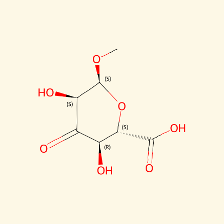 CO[C@H]1O[C@H](C(=O)O)[C@@H](O)C(=O)[C@H]1O